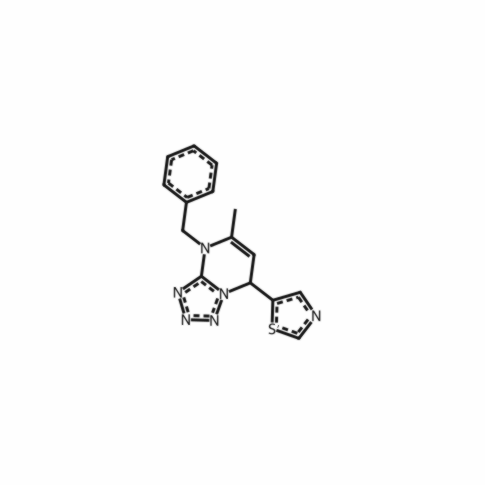 CC1=CC(c2cncs2)n2nnnc2N1Cc1ccccc1